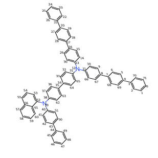 c1ccc(-c2ccc(-c3ccc(N(c4ccc(-c5ccc(-c6ccccc6)cc5)cc4)c4ccc(-c5ccc(N(c6ccc(-c7ccccc7)cc6)c6cccc7ccccc67)cc5)cc4)cc3)cc2)cc1